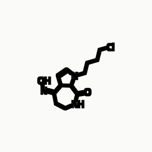 O=C1NCC/C(=N/O)C2C=CN(CCCCCl)C12